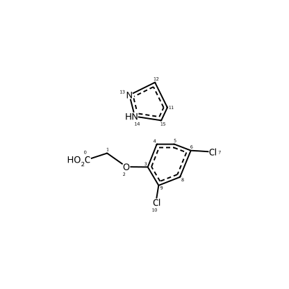 O=C(O)COc1ccc(Cl)cc1Cl.c1cn[nH]c1